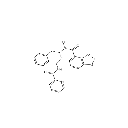 CCN(C(=O)c1cccc2c1OCO2)[C@H](CCNC(=O)c1ccccn1)Cc1ccccc1